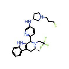 C[C@@H]1Cc2c([nH]c3ccccc23)[C@@H](c2ccc(N[C@@H]3CCN(CCCF)C3)cn2)N1CC(F)(F)F